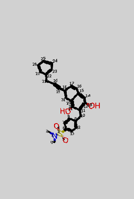 CN(C)S(=O)(=O)c1ccc(Cc2c(O)cc3ccc(C#CCc4ccccc4)cc3c2O)cc1